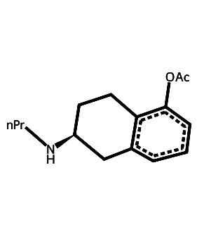 CCCN[C@H]1CCc2c(cccc2OC(C)=O)C1